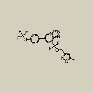 Cc1cc(COC(F)(F)c2cc(-c3ccc(OC(F)(F)F)cc3)cn3cnnc23)no1